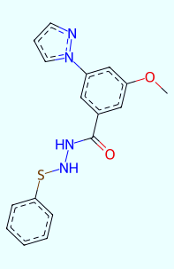 COc1cc(C(=O)NNSc2ccccc2)cc(-n2cccn2)c1